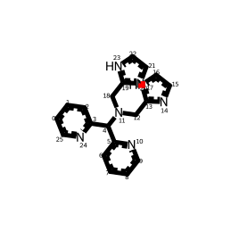 c1ccc(C(c2ccccn2)N(Cc2ncc[nH]2)Cc2ncc[nH]2)nc1